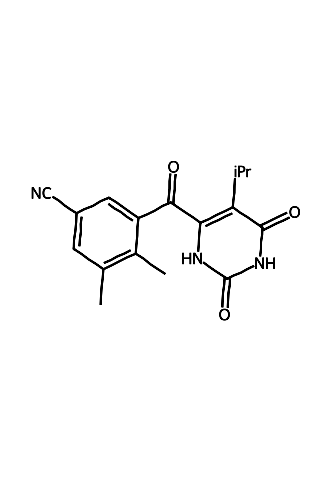 Cc1cc(C#N)cc(C(=O)c2[nH]c(=O)[nH]c(=O)c2C(C)C)c1C